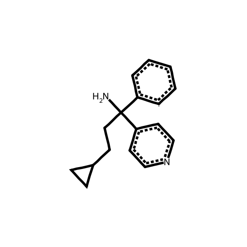 NC(CCC1CC1)(c1[c]cccc1)c1ccncc1